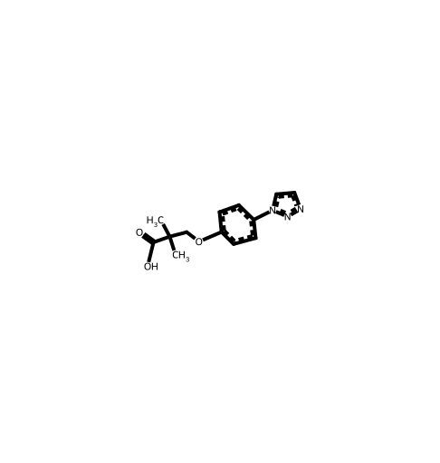 CC(C)(COc1ccc(-n2ccnn2)cc1)C(=O)O